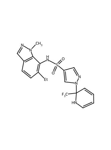 CCc1ccc2cnn(C)c2c1NS(=O)(=O)c1cnn(C2(C(F)(F)F)C=CC=CN2)c1